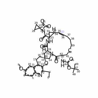 CCc1nc2ccc(OC)cc2c2c1O[C@]1(CC2)C[C@H]2C(=O)N[C@]3(C(=O)N4C5(CC5)S4(=O)=O)C[C@H]3/C=C\CCCCC[C@H](NC(=O)OC(C)(C)C)C(=O)N2C1